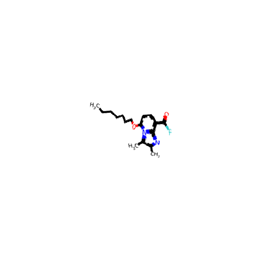 CCCCCCCOc1ccc(C(=O)F)c2nc(C)c(C)n12